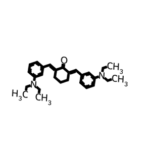 CCN(CC)c1cccc(C=C2CCCC(=Cc3cccc(N(CC)CC)c3)C2=O)c1